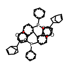 C1=CC2CC1CC2C1Oc2ccc(P(c3ccccc3)c3ccccc3)c(-c3c(P(c4ccccc4)c4ccccc4)ccc4c3OC(C3CC5C=CC3C5)O4)c2O1